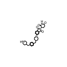 O=C1CCC(N2C(=O)c3ccc(N4CCC(Cc5ccc(CC6CCNCC6)cc5)CC4)cc3C2=O)C(=O)N1